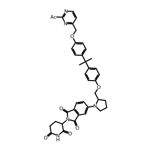 CC(=O)c1nccc(COc2ccc(C(C)(C)c3ccc(OCC4CCCN4c4ccc5c(c4)C(=O)N(C4CCC(=O)NC4=O)C5=O)cc3)cc2)n1